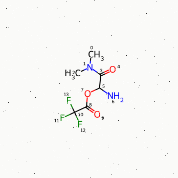 CN(C)C(=O)C(N)OC(=O)C(F)(F)F